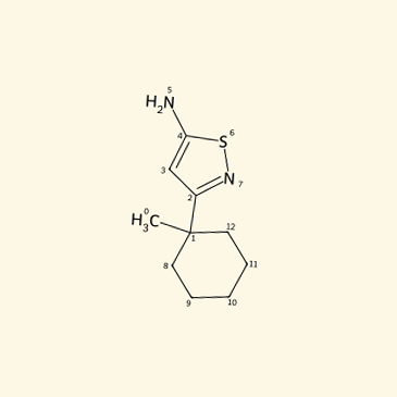 CC1(c2cc(N)sn2)CCCCC1